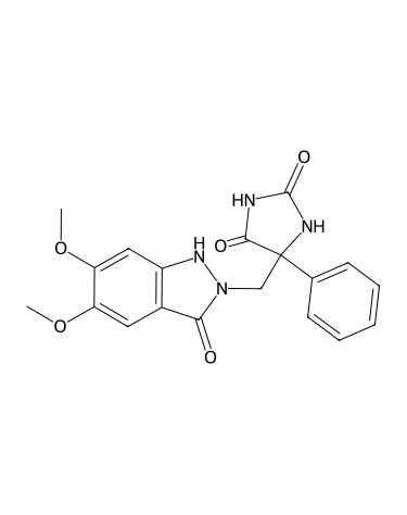 COc1cc2[nH]n(CC3(c4ccccc4)NC(=O)NC3=O)c(=O)c2cc1OC